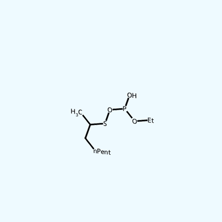 CCCCCCC(C)SOP(O)OCC